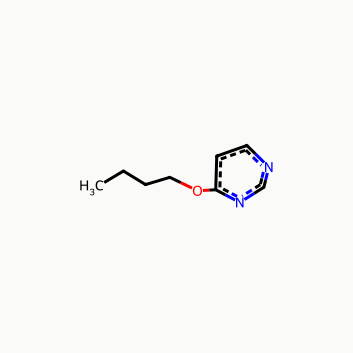 CCCCOc1ccncn1